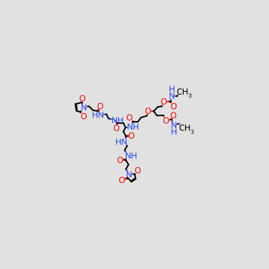 CCNC(=O)OCCC(CCOC(=O)NCC)OCCCC(=O)NC(CC(=O)NCCNC(=O)CCN1C(=O)C=CC1=O)CC(=O)NCCNC(=O)CCN1C(=O)C=CC1=O